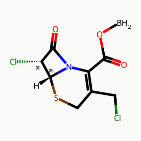 BOC(=O)C1=C(CCl)CS[C@@H]2[C@H](Cl)C(=O)N12